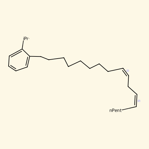 CCCCC/C=C\C/C=C\CCCCCCCCc1ccccc1[C](C)C